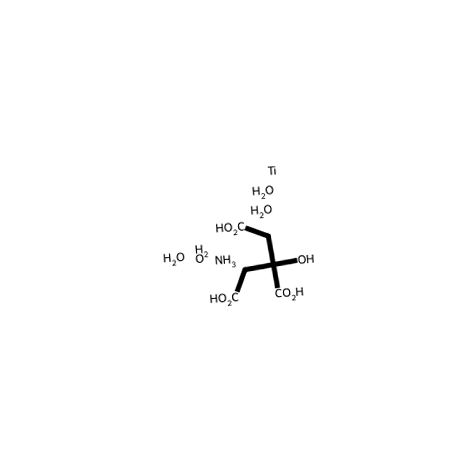 N.O.O.O.O.O=C(O)CC(O)(CC(=O)O)C(=O)O.[Ti]